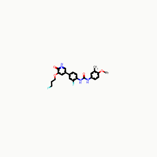 CC(C)Oc1ccc(NC(=O)Nc2ccc(-c3c[nH]c(=O)c(OCCCF)c3)cc2F)cc1C(F)(F)F